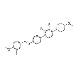 COc1ccc(COc2ccc(-c3ccc(C4CCC(OC)CC4)c(F)c3F)cc2)cc1F